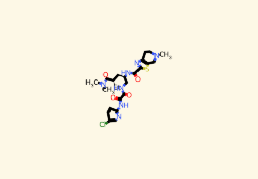 CC[C@@H](C[C@H](CNC(=O)C(=O)Nc1ccc(Cl)cn1)NC(=O)c1nc2c(s1)CN(C)CC2)C(=O)N(C)C